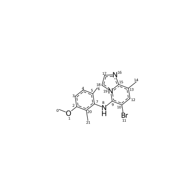 COc1ccc(C)c(Nc2c(Br)cc(C)c3nccn23)c1C